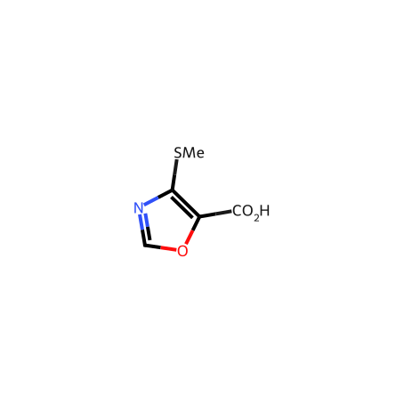 CSc1ncoc1C(=O)O